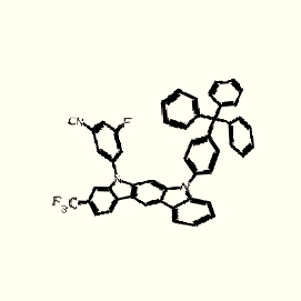 [C-]#[N+]c1cc(F)cc(-n2c3cc(C(F)(F)F)ccc3c3cc4c5ccccc5n(-c5ccc(C(c6ccccc6)(c6ccccc6)c6ccccc6)cc5)c4cc32)c1